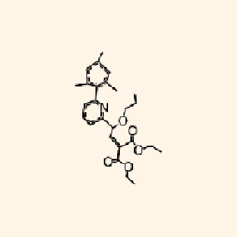 CCCOC(C=C(C(=O)OCC)C(=O)OCC)c1cccc(-c2c(C)cc(C)cc2C)n1